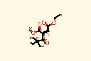 CCOC(=O)/C=C(\C(=O)OC)C(=O)C(C)(C)C